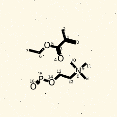 C=C(C)C(=O)OCC.C[N+](C)(C)CCOP=O